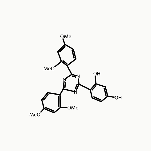 COc1ccc(-c2nc(-c3ccc(O)cc3O)nc(-c3ccc(OC)cc3OC)n2)c(OC)c1